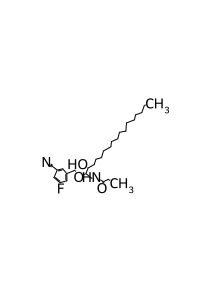 CCCCCCCCCCCCCCCC(O)C(CNC(=O)CC)OCc1cc(F)cc(C#N)c1